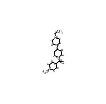 CCN1CCN(C2CCN(C(=O)C3CCN(C)CC3)CC2)CC1